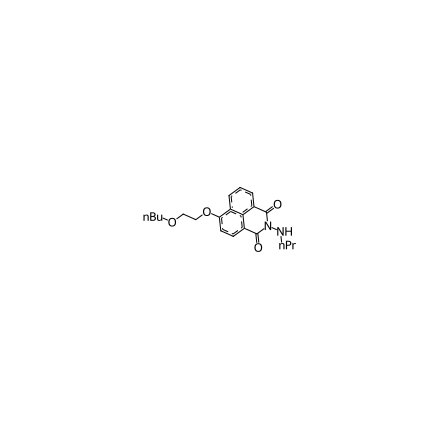 CCCCOCCOc1ccc2c3c(cccc13)C(=O)N(NCCC)C2=O